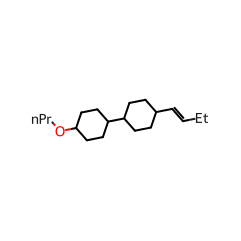 CCC=CC1CCC(C2CCC(OCCC)CC2)CC1